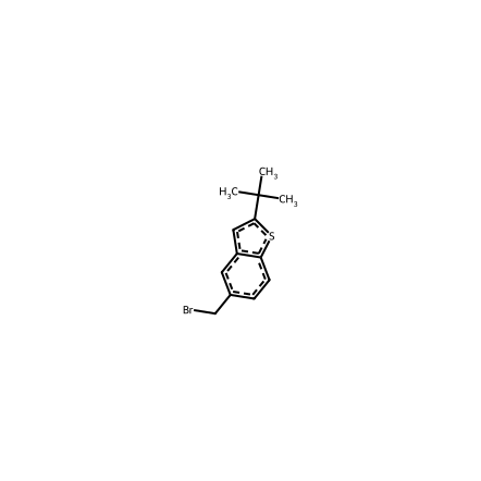 CC(C)(C)c1cc2cc(CBr)ccc2s1